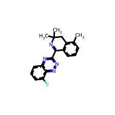 Cc1cccc2c1CC(C)(C)N=C2c1nnc2c(F)cccc2n1